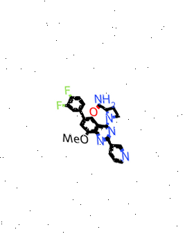 COc1cc(-c2ccc(F)c(F)c2)cc2c(N3CCC3C(N)=O)nc(-c3cccnc3)nc12